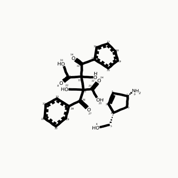 N[C@H]1C=C[C@@H](CO)C1.O=C(O)C(O)(C(=O)c1ccccc1)C(O)(C(=O)O)C(=O)c1ccccc1